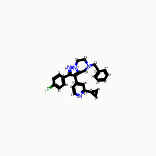 Fc1ccc(-c2nn3c(c2-c2ccnc([C]4CC4)c2)CN(Cc2ccccc2)CC3)cc1